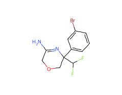 NC1=NC(c2cccc(Br)c2)(C(F)F)COC1